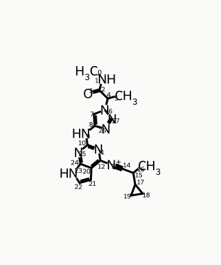 CNC(=O)C(C)n1cc(Nc2nc([N+]#CC(C)C3CC3)c3cc[nH]c3n2)nn1